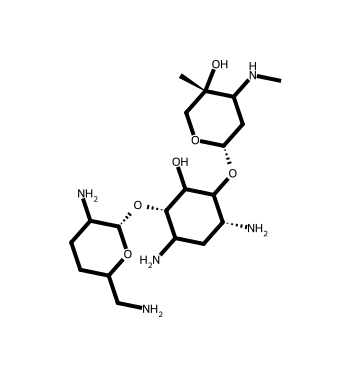 CNC1C[C@H](OC2C(O)[C@@H](O[C@@H]3OC(CN)CCC3N)C(N)C[C@H]2N)OC[C@]1(C)O